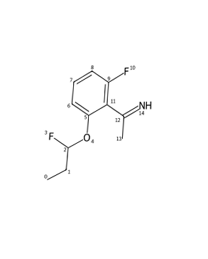 CCC(F)Oc1cccc(F)c1C(C)=N